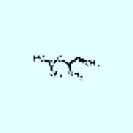 C=CC(N)OB(O)O